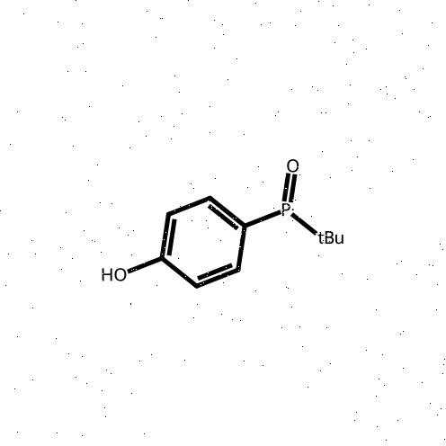 CC(C)(C)[P](=O)c1ccc(O)cc1